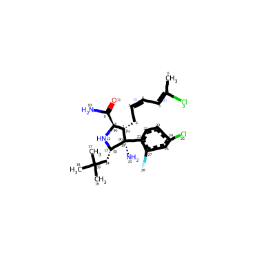 C/C(Cl)=C\C=C/C[C@H]1[C@H](C(N)=O)N[C@@H](CC(C)(C)C)[C@]1(N)c1ccc(Cl)cc1F